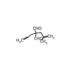 C=CCC(C=O)(C=O)CC(=C)C